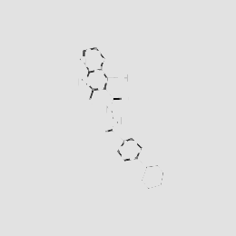 O=C(NNC(=O)c1c(O)c2cccnc2[nH]c1=O)c1ccc(C2CCCCC2)cc1